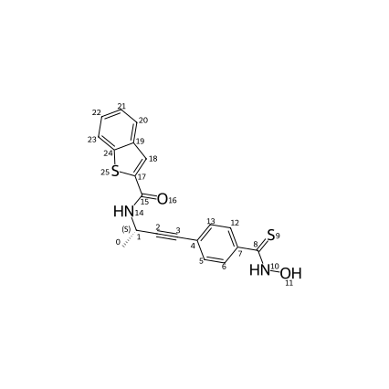 C[C@@H](C#Cc1ccc(C(=S)NO)cc1)NC(=O)c1cc2ccccc2s1